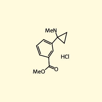 CNC1(c2cccc(C(=O)OC)c2)CC1.Cl